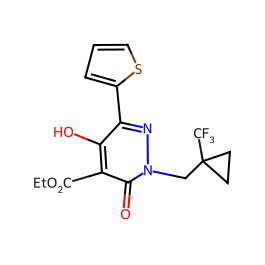 CCOC(=O)c1c(O)c(-c2cccs2)nn(CC2(C(F)(F)F)CC2)c1=O